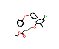 CCOC(=O)CCCOc1ccc(Cl)cc1C.c1ccc(Oc2ccccc2)cc1